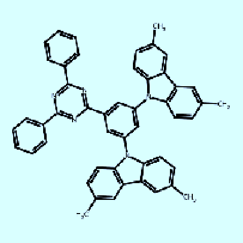 Cc1ccc2c(c1)c1cc(C)ccc1n2-c1cc(-c2nc(-c3ccccc3)nc(-c3ccccc3)n2)cc(-n2c3ccc(C)cc3c3cc(C)ccc32)c1